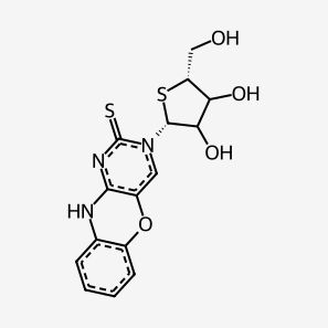 OC[C@H]1S[C@@H](n2cc3c(nc2=S)Nc2ccccc2O3)C(O)C1O